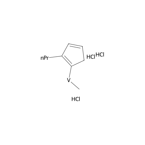 CCCC1=[C]([V][CH3])CC=C1.Cl.Cl.Cl